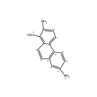 CCCCCCCCc1c(N)ccc2c1ccc1cc(N)ccc12